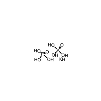 O=P(O)(O)O.O=P(O)(O)O.[KH]